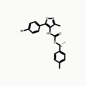 Cc1ccc([C@@H](C)OC(=O)Nc2c(C)noc2-c2ccc(Br)cc2)cc1